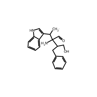 [CH2]C(c1c[nH]c2ccccc12)C(N)(C=O)C(CO)Cc1ccccc1